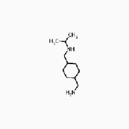 CC(C)NCC1CCC(CN)CC1